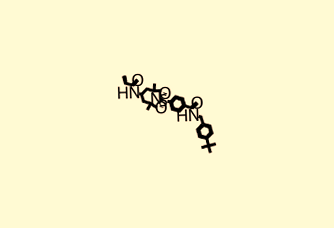 C=CC(=O)NC1CC(C)(C)N(S(=O)(=O)c2ccc(C(=O)NCc3ccc(C(C)(C)C)cc3)cc2)C(C)(C)C1